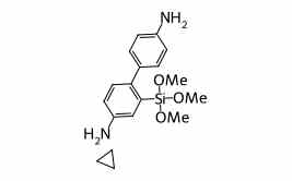 C1CC1.CO[Si](OC)(OC)c1cc(N)ccc1-c1ccc(N)cc1